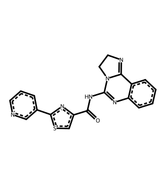 O=C(NC1=Nc2ccccc2C2=NCCN12)c1csc(-c2cccnc2)n1